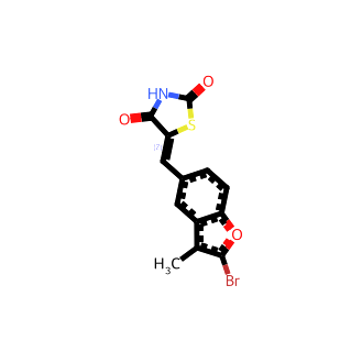 Cc1c(Br)oc2ccc(/C=C3\SC(=O)NC3=O)cc12